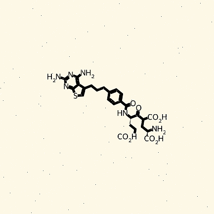 Nc1nc(N)c2c(CCCc3ccc(C(=O)N[C@@H](CCC(=O)O)C(=O)C(C[C@H](N)C(=O)O)C(=O)O)cc3)csc2n1